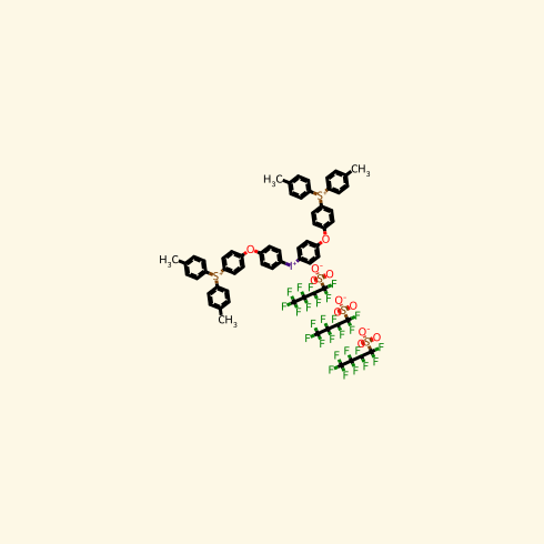 Cc1ccc([S+](c2ccc(C)cc2)c2ccc(Oc3ccc([I+]c4ccc(Oc5ccc([S+](c6ccc(C)cc6)c6ccc(C)cc6)cc5)cc4)cc3)cc2)cc1.O=S(=O)([O-])C(F)(F)C(F)(F)C(F)(F)C(F)(F)F.O=S(=O)([O-])C(F)(F)C(F)(F)C(F)(F)C(F)(F)F.O=S(=O)([O-])C(F)(F)C(F)(F)C(F)(F)C(F)(F)F